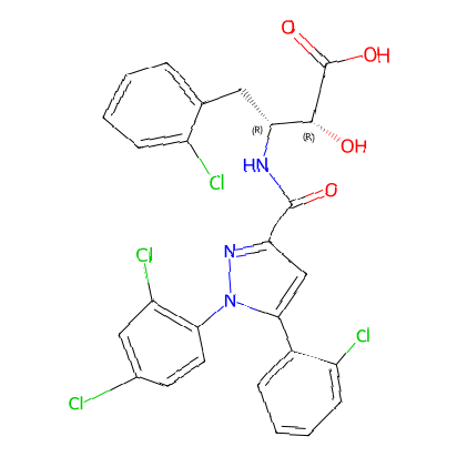 O=C(N[C@H](Cc1ccccc1Cl)[C@@H](O)C(=O)O)c1cc(-c2ccccc2Cl)n(-c2ccc(Cl)cc2Cl)n1